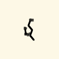 CCCCO.[Mg+2][Br]